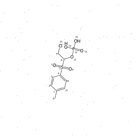 Cc1ccc(S(=O)(=O)C(CCl)OP(=O)(O)O)cc1